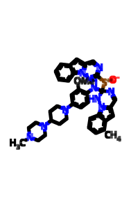 C.COc1cc(N2CCC(N3CCN(C)CC3)CC2)ccc1NC1([S+]([O-])c2ncc3cc4ccccc4n3n2)N=Cc2cc3ccccc3n2N1